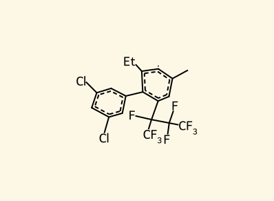 CCc1[c]c(C)cc(C(F)(C(F)(F)F)C(F)(F)C(F)(F)F)c1-c1cc(Cl)cc(Cl)c1